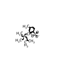 CC[P+](CC)(CC)CC(C)C.Cc1ccc(S(=O)(=O)[O-])cc1